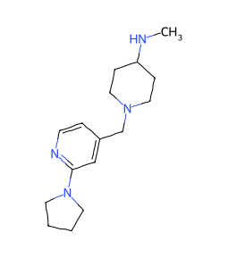 CNC1CCN(Cc2ccnc(N3CCCC3)c2)CC1